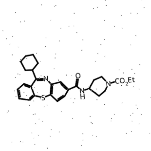 CCOC(=O)N1CCC(NC(=O)c2ccc3c(c2)N=C(C2CCCCC2)c2ccccc2S3)CC1